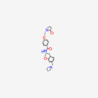 O=C(N[C@H]1COc2cc(CN3CCCC3)ccc2C1)c1ccc(OCCN2CCCC2=O)cc1